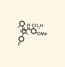 COc1ccc(Nc2c(C)c(-c3ccc(F)cc3)nn2-c2ccccc2C)c(C(=O)O)c1